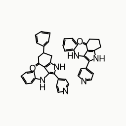 O=C1CC(c2ccccc2)Cc2[nH]c(-c3ccncc3)c(Nc3ccccc3)c21.O=C1CCCc2[nH]c(-c3ccncc3)c(Nc3ccccc3)c21